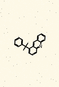 CC(C)(c1ccccc1)c1cccc2nc3ccccc3cc12